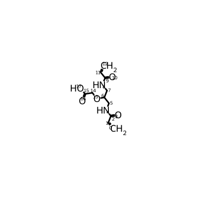 C=CC(=O)NCC(CNC(=O)C=C)OCC(=O)O